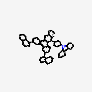 c1ccc2c(-c3ccc4c(c3)c3cc(-c5cccc6ccccc56)ccc3c3c(-c5ccc(-n6c7ccccc7c7ccccc76)cc5)c5ccccc5cc43)cccc2c1